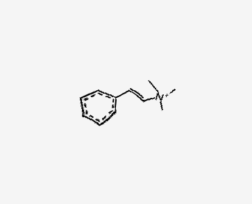 C[N+](C)(C)C=Cc1ccccc1